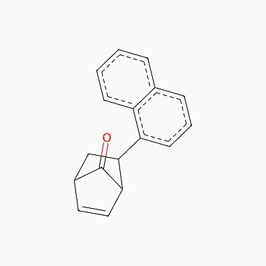 O=C1C2C=CC1C(c1cccc3ccccc13)C2